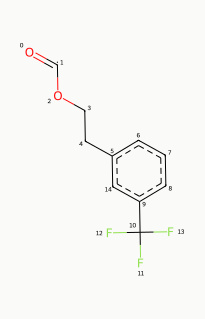 O=[C]OCCc1cccc(C(F)(F)F)c1